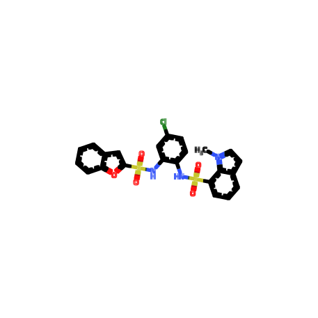 Cn1ccc2cccc(S(=O)(=O)Nc3ccc(Cl)cc3NS(=O)(=O)c3cc4ccccc4o3)c21